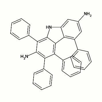 Nc1cc(-c2ccccc2)c2c(c1)[nH]c1c(-c3ccccc3)c(N)c(-c3ccccc3)c(-c3ccccc3)c12